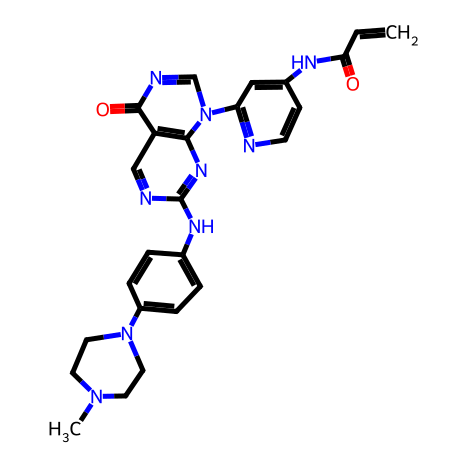 C=CC(=O)Nc1ccnc(-n2cnc(=O)c3cnc(Nc4ccc(N5CCN(C)CC5)cc4)nc32)c1